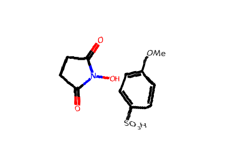 COc1ccc(S(=O)(=O)O)cc1.O=C1CCC(=O)N1O